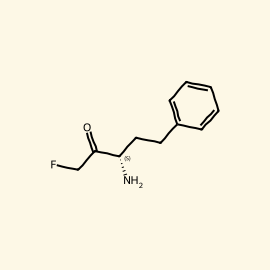 N[C@@H](CCc1ccccc1)C(=O)CF